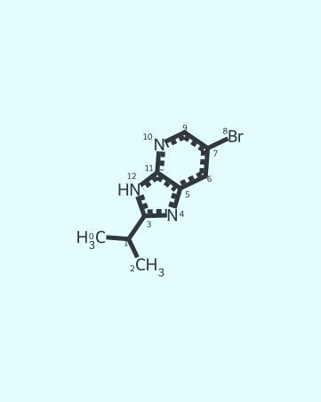 CC(C)c1nc2cc(Br)cnc2[nH]1